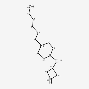 OCCCCCN1CCC(OC2CNC2)CC1